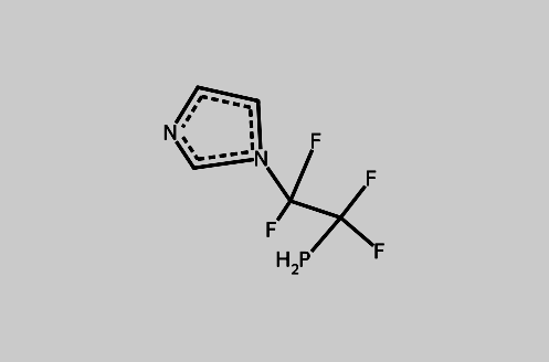 FC(F)(P)C(F)(F)n1ccnc1